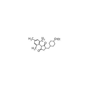 CCOC1CCC(CC2CC(=O)C(c3c(C)cc(C)cc3C)C2=O)CC1